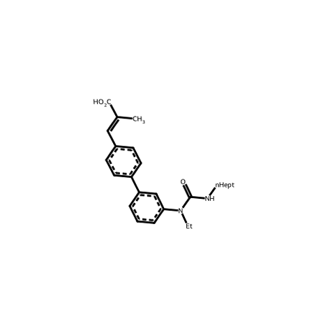 CCCCCCCNC(=O)N(CC)c1cccc(-c2ccc(C=C(C)C(=O)O)cc2)c1